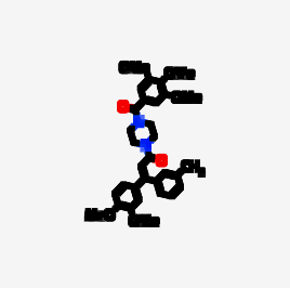 COc1ccc(/C(=C/C(=O)N2CCN(C(=O)c3cc(OC)c(OC)c(OC)c3)CC2)c2cccc(C)c2)cc1OC